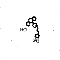 Cl.O=[N+]([O-])c1ccc(/C=C/CN2CCC(=C3c4ccccc4CCc4ccccc43)CC2)cc1